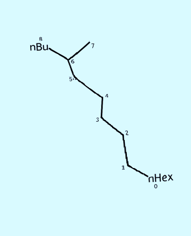 CCCCCCCCCC[C]C(C)CCCC